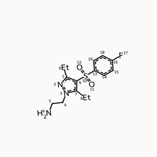 CCc1nn(CCN)c(CC)c1S(=O)(=O)c1ccc(F)cc1